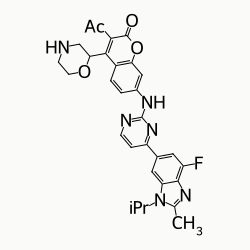 CC(=O)c1c(C2CNCCO2)c2ccc(Nc3nccc(-c4cc(F)c5nc(C)n(C(C)C)c5c4)n3)cc2oc1=O